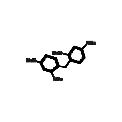 CNc1ccc(Cc2ccc(NC)cc2NC)c(NC)c1